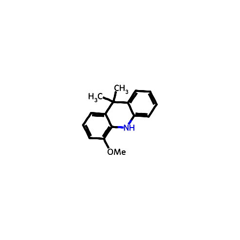 COc1cccc2c1Nc1ccccc1C2(C)C